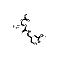 C=C(O)C[C@@H](CNC(=O)O[C@H](C)OC(=O)C(C)C)CC(C)C